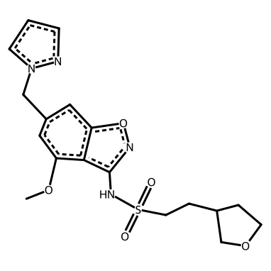 COc1cc(Cn2cccn2)cc2onc(NS(=O)(=O)CCC3CCOC3)c12